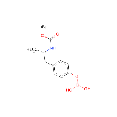 CC(C)(C)OC(=O)NC(Cc1ccc(OB(O)O)cc1)C(=O)O